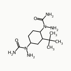 CC(C)(C)C1CC(N(N)C(N)=O)CCC1N(N)C(N)=O